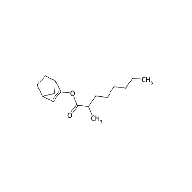 CCCCCCC(C)C(=O)OC1=CC2CCC1C2